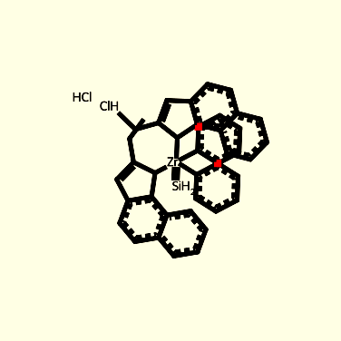 CCC1=Cc2ccc3ccccc3c2[CH]1[Zr](=[SiH2])([c]1ccccc1)([c]1ccccc1)[CH]1C(CC)=Cc2ccc3ccccc3c21.Cl.Cl